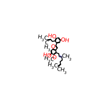 COc1c(O)cc2oc(-c3cc(O)cc(O)c3CC=C(C)C)cc2c1C/C=C(\C)CCC=C(C)C